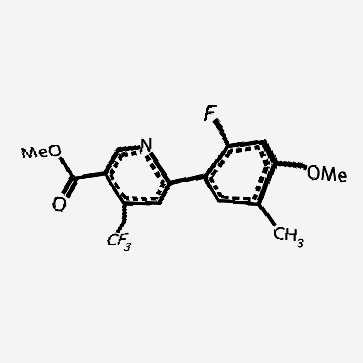 COC(=O)c1cnc(-c2cc(C)c(OC)cc2F)cc1C(F)(F)F